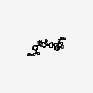 COC(=O)c1cccc(-c2nnc3n2CCN(C2CCC(CNC(=O)OC(C)(C)C)(c4cccc(Cl)c4)CC2)C3=O)c1